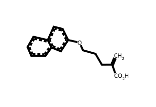 C=C(CCCOc1ccc2ccccc2c1)C(=O)O